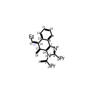 C=C(C(C)C)n1c(C(C)C)nc2c3ccccc3/c(=C\CC)c(=C)c21